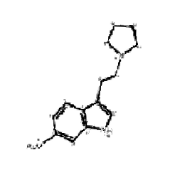 CC(=O)Oc1ccc2c(CCN3CCCC3)c[nH]c2c1